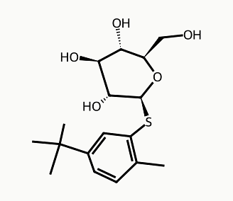 Cc1ccc(C(C)(C)C)cc1S[C@@H]1O[C@H](CO)[C@@H](O)[C@H](O)[C@H]1O